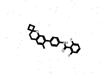 Cc1cc2c(cc1-c1ccc(NC(=O)c3c(F)cccc3F)cc1)OC1(CCC1)CC2